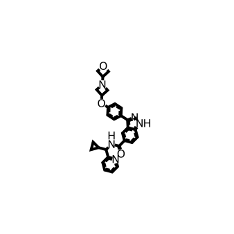 O=C(NC(c1ccccn1)C1CC1)c1ccc2[nH]nc(-c3ccc(OC4CN(C5COC5)C4)cc3)c2c1